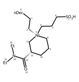 CCCCCCCCCCCC[N@+]1(CCCS(=O)(=O)O)CCC[C@H](C(=O)N(CC)CC)C1